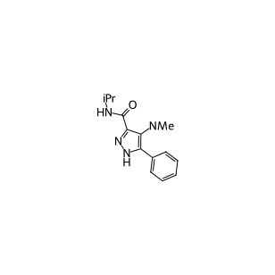 CNc1c(C(=O)NC(C)C)n[nH]c1-c1ccccc1